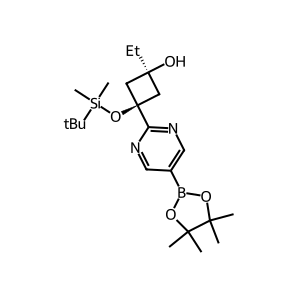 CC[C@]1(O)C[C@](O[Si](C)(C)C(C)(C)C)(c2ncc(B3OC(C)(C)C(C)(C)O3)cn2)C1